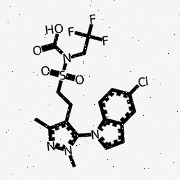 Cc1nn(C)c(-n2ccc3cc(Cl)ccc32)c1CCS(=O)(=O)N(CC(F)(F)F)C(=O)O